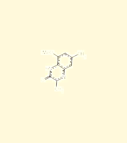 COc1cc(C)cc2nc(C)c(=O)[nH]c12